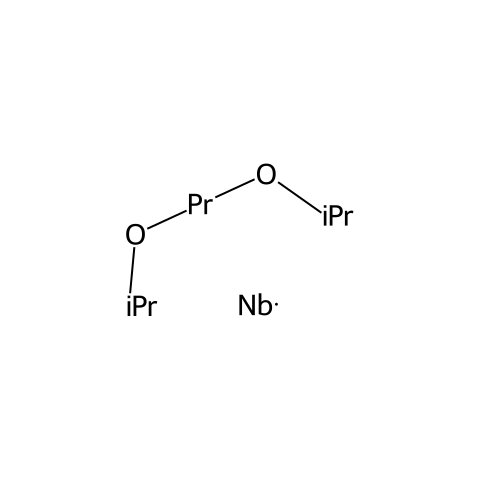 CC(C)[O][Pr][O]C(C)C.[Nb]